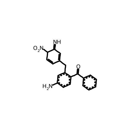 N=C1C=C(Cc2cc(N)ccc2C(=O)c2ccccc2)C=CC1[N+](=O)[O-]